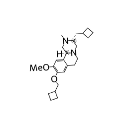 COc1cc2c(cc1OCC1CCC1)CCN1C[C@@H](CC3CCC3)N(C)C[C@H]21